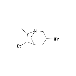 CCC1C2CC(C(C)C)CN(C2)C1C